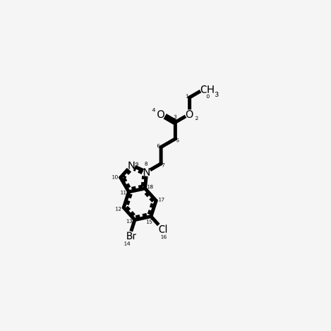 CCOC(=O)CCCn1ncc2cc(Br)c(Cl)cc21